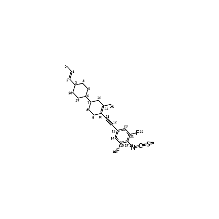 C/C=C/C1CCC(C2CCC(C#Cc3cc(F)c(N=C=S)c(F)c3)=C(C)C2)CC1